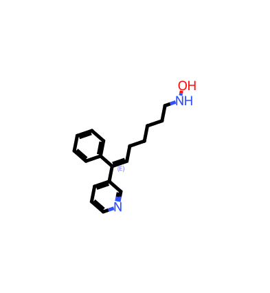 ONCCCCC/C=C(\c1ccccc1)c1cccnc1